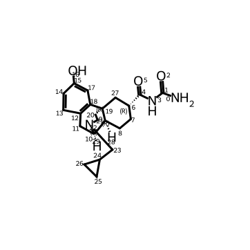 NC(=O)NC(=O)[C@@H]1CC[C@H]2[C@H]3Cc4ccc(O)cc4[C@@]2(CCN3CC2CC2)C1